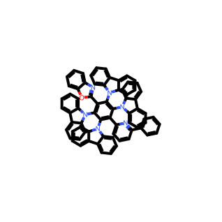 c1ccc(-c2cccc(-c3c(-n4c5ccccc5c5ccccc54)c(-n4c5ccccc5c5ccccc54)c(-c4nc5ccccc5o4)c(-n4c5ccccc5c5ccccc54)c3-n3c4ccccc4c4ccccc43)n2)cc1